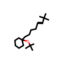 CC(C)(C)/C=C/CCCCC1(OC(C)(C)C)CCCCC1